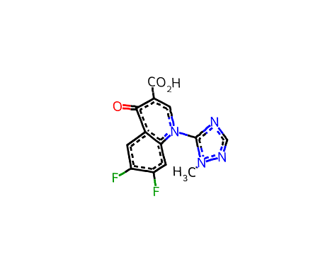 Cn1ncnc1-n1cc(C(=O)O)c(=O)c2cc(F)c(F)cc21